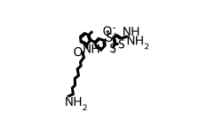 CSc1sc(C(=N)N)cc1[S+]([O-])c1cccc(-c2c(C)cccc2NC(=O)CCCCCCCCCCN)c1